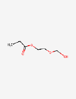 CCC(=O)OCCOCO